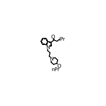 CCCOC1CCN(CCCn2cc(C(=O)CC(C)C)c3ccccc32)CC1